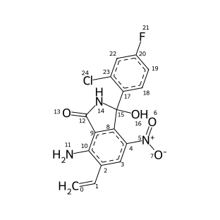 C=Cc1cc([N+](=O)[O-])c2c(c1N)C(=O)NC2(O)c1ccc(F)cc1Cl